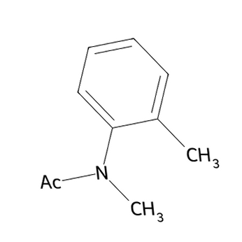 CC(=O)N(C)c1ccccc1C